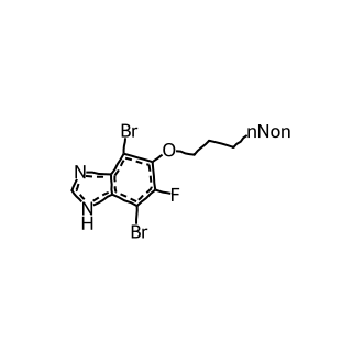 CCCCCCCCCCCCOc1c(F)c(Br)c2[nH]cnc2c1Br